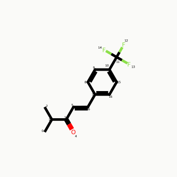 CC(C)C(=O)C=Cc1ccc(C(F)(F)F)cc1